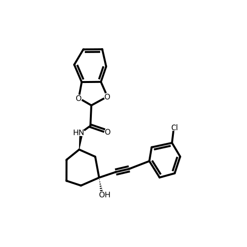 O=C(N[C@@H]1CCC[C@](O)(C#Cc2cccc(Cl)c2)C1)C1Oc2ccccc2O1